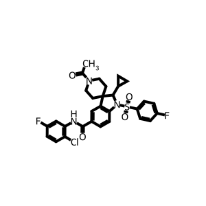 CC(=O)N1CCC2(CC1)c1cc(C(=O)Nc3cc(F)ccc3Cl)ccc1N(S(=O)(=O)c1ccc(F)cc1)C2C1CC1